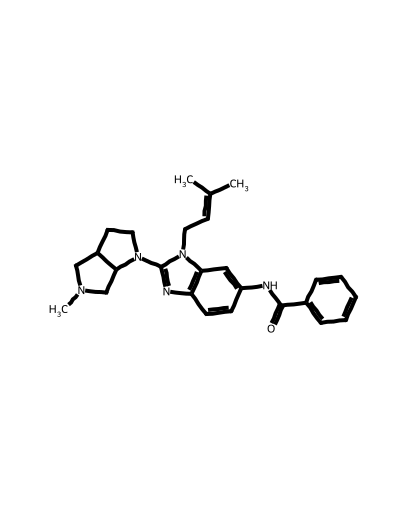 CC(C)=CCn1c(N2CCC3CN(C)CC32)nc2ccc(NC(=O)c3ccccc3)cc21